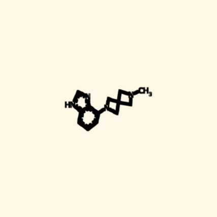 CN1CC2(C1)CN(c1cccc3[nH]cnc13)C2